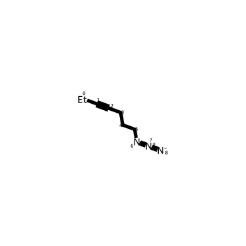 CCC#CCCCN=[N+]=[N-]